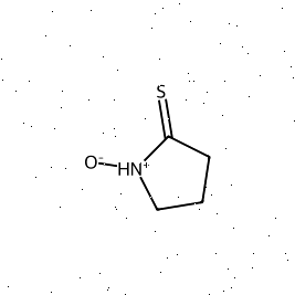 [O-][NH+]1CCCC1=S